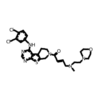 CN(CC=CC(=O)N1CCc2c(sc3ncnc(Nc4ccc(Cl)c(Cl)c4)c23)C1)CCN1CCOCC1